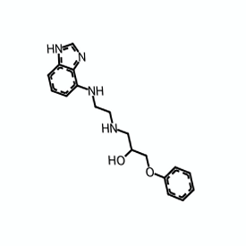 OC(CNCCNc1cccc2[nH]cnc12)COc1ccccc1